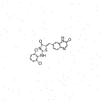 O=C1N=C(Nc2c(Cl)cccc2Cl)S/C1=C\c1ccc2ncc(=O)[nH]c2c1